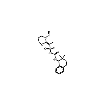 C=NN1CCCO/C1=C(/C)S(=O)(=O)NC(=O)NC1c2ccccc2CCC1(C)C